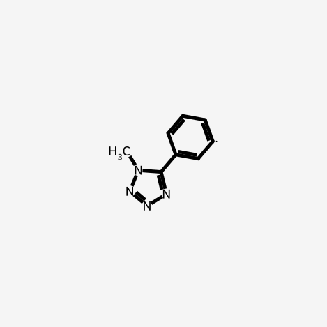 Cn1nnnc1-c1c[c]ccc1